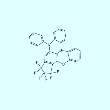 FC1(F)c2cc3c4c(c2C(F)(F)C1(F)F)Oc1ccccc1B4c1ccccc1N3c1ccccc1